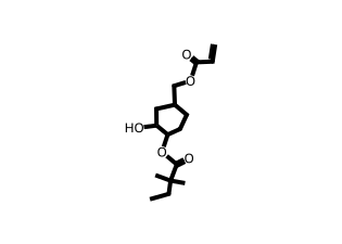 C=CC(=O)OCC1CCC(OC(=O)C(C)(C)CC)C(O)C1